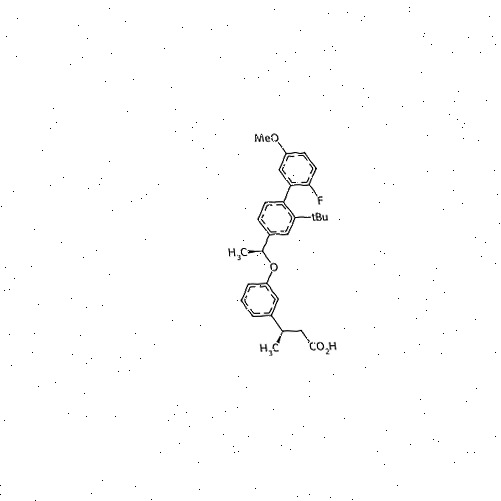 COc1ccc(F)c(-c2ccc([C@H](C)Oc3cccc([C@H](C)CC(=O)O)c3)cc2C(C)(C)C)c1